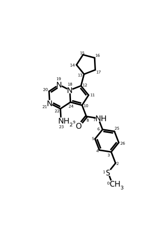 CSCc1ccc(NC(=O)c2cc(C3CCCC3)n3ncnc(N)c23)cc1